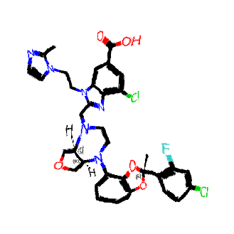 Cc1nccn1CCn1c(CN2CCN(c3cccc4c3O[C@](C)(c3ccc(Cl)cc3F)O4)[C@H]3COC[C@H]32)nc2c(Cl)cc(C(=O)O)cc21